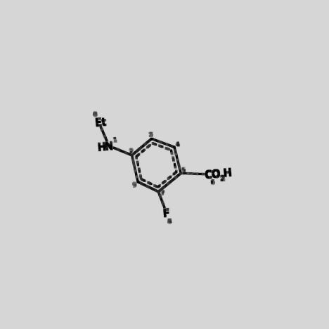 CCNc1ccc(C(=O)O)c(F)c1